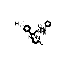 Cc1ccc(-c2nc3ccc(Cl)nn3c2CNC(=O)NC2CCCC2)cc1